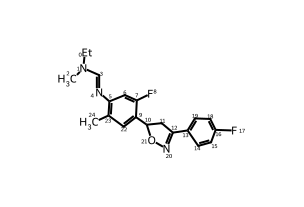 CCN(C)C=Nc1cc(F)c(C2CC(c3ccc(F)cc3)=NO2)cc1C